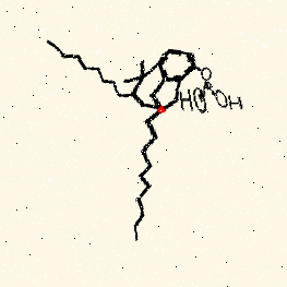 CCCCCCCCCCCCc1c2ccc(OP(O)O)c1CCCC(CCCCCCCC)C2(C)C